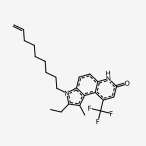 C=CCCCCCCCn1c(CC)c(C)c2c3c(C(F)(F)F)cc(=O)[nH]c3ccc21